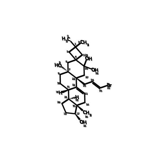 CC1(C)CC2(C1)C[C@]1(O)CC[C@@H]3C(=CC[C@]4(C)[C@@H](O)CC[C@@H]34)[C@@]1(CC=CBr)CC2(O)O